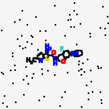 Cc1ccc2c(N)c(C(=O)N[C@H]3COc4cc(N5CC6CCC(C5)N6)cc(F)c4C3)sc2n1